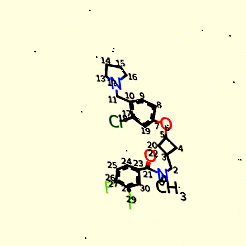 CN(CC1CC(Oc2ccc(CN3CCCC3)c(Cl)c2)C1)C(=O)c1ccc(F)c(F)c1